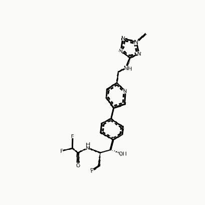 Cn1nnc(NCc2ccc(-c3ccc([C@H](O)[C@@H](CF)NC(=O)C(F)F)cc3)cn2)n1